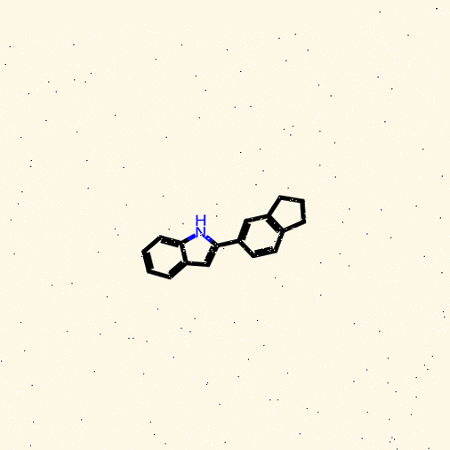 c1ccc2[nH]c(-c3ccc4c(c3)CCC4)cc2c1